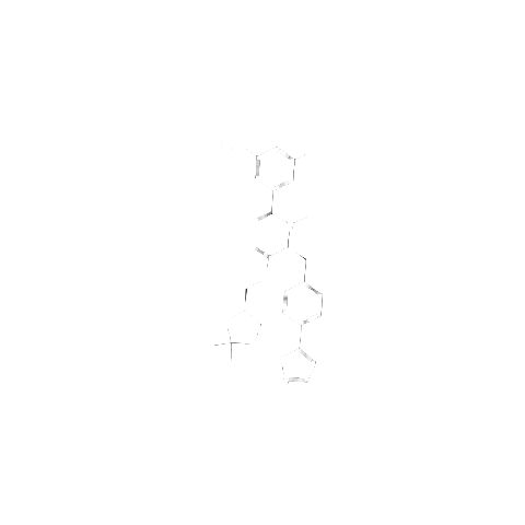 Cc1cc(C)cc(C(=O)N(C)[C@@H](Cc2ccc(-c3ccno3)cc2)C(=O)OC[C@H]2COC(C)(C)O2)c1